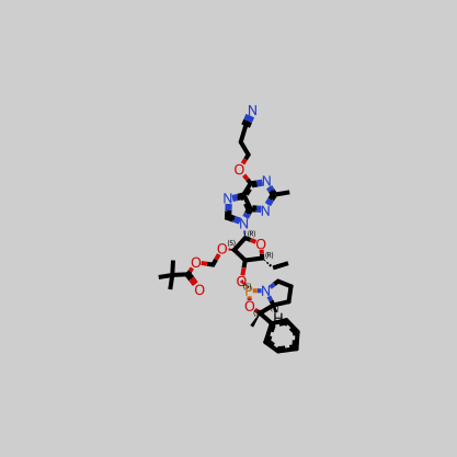 CC[C@H]1O[C@@H](n2cnc3c(OCCC#N)nc(C)nc32)[C@@H](OCOC(=O)C(C)(C)C)C1O[P@]1O[C@@](C)(c2ccccc2)[C@H]2CCCN21